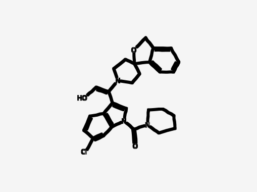 O=C(N1CCCCC1)n1cc(/C(=C\O)N2CCC3(CC2)OCc2ccccc23)c2ccc(Cl)cc21